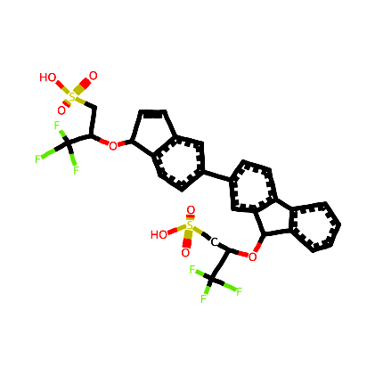 O=S(=O)(O)CC(OC1C=Cc2cc(-c3ccc4c(c3)C(OC(CS(=O)(=O)O)C(F)(F)F)c3ccccc3-4)ccc21)C(F)(F)F